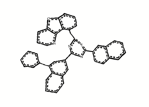 c1ccc(-c2cc(-c3nc(-c4ccc5ccccc5c4)nc(-c4cccc5oc6cccnc6c45)n3)cc3ccccc23)cc1